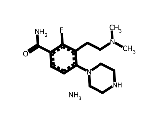 CN(C)CCc1c(N2CCNCC2)ccc(C(N)=O)c1F.N